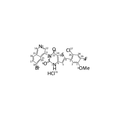 COc1cc(-c2cc3[nH]c(=O)n(-c4cncc5ccc(Br)cc45)c(=O)c3s2)c(Cl)cc1F.Cl